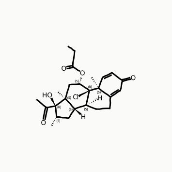 CCC(=O)O[C@H]1C[C@@]2(C)[C@@H](C[C@H](C)[C@]2(O)C(C)=O)[C@@H]2CCC3=CC(=O)C=C[C@]3(C)[C@@]12Cl